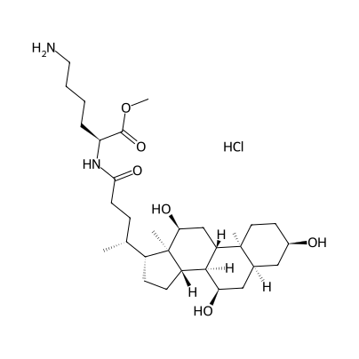 COC(=O)[C@H](CCCCN)NC(=O)CC[C@@H](C)[C@H]1CC[C@H]2[C@@H]3[C@H](O)C[C@@H]4C[C@H](O)CC[C@]4(C)[C@H]3C[C@H](O)[C@]12C.Cl